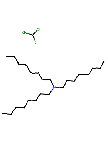 CCCCCCCCN(CCCCCCCC)CCCCCCCC.ClC(Cl)Cl